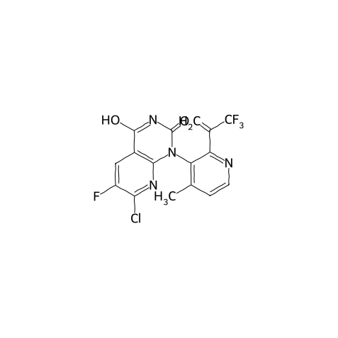 C=C(c1nccc(C)c1-n1c(=O)nc(O)c2cc(F)c(Cl)nc21)C(F)(F)F